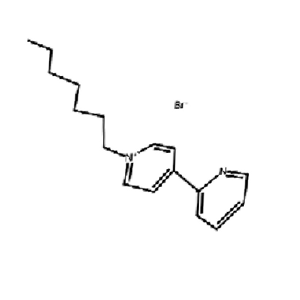 CCCCCCC[n+]1ccc(-c2ccccn2)cc1.[Br-]